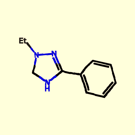 CCN1CNC(c2ccccc2)=N1